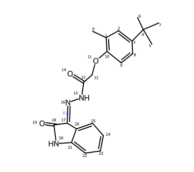 Cc1cc(C(C)(C)C)ccc1OCC(=O)N/N=C1/C(=O)Nc2ccccc21